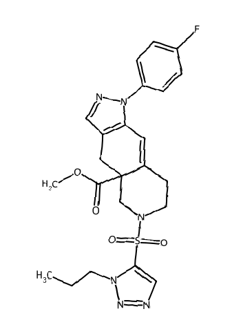 CCCn1nncc1S(=O)(=O)N1CCC2=Cc3c(cnn3-c3ccc(F)cc3)CC2(C(=O)OC)C1